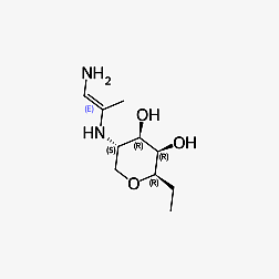 CC[C@H]1OC[C@H](N/C(C)=C/N)[C@@H](O)[C@H]1O